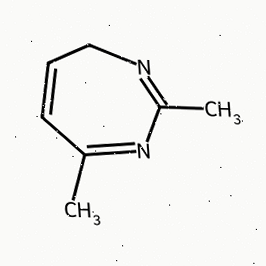 CC1=NC(C)=NCC=C1